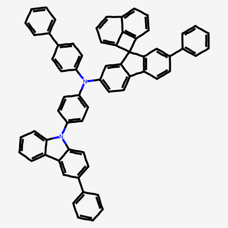 c1ccc(-c2ccc(N(c3ccc(-n4c5ccccc5c5cc(-c6ccccc6)ccc54)cc3)c3ccc4c(c3)C3(c5cc(-c6ccccc6)ccc5-4)c4cccc5cccc3c45)cc2)cc1